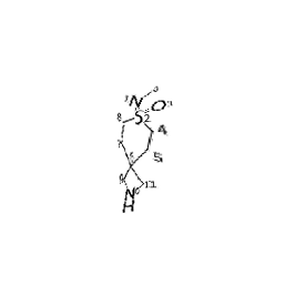 CN=S1(=O)CCC2(CC1)CNC2